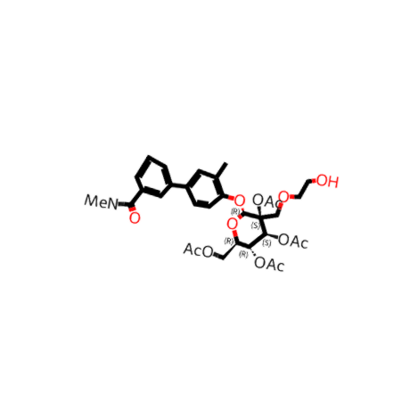 CNC(=O)c1cccc(-c2ccc(O[C@H]3O[C@H](COC(C)=O)[C@@H](OC(C)=O)[C@H](OC(C)=O)[C@]3(COCCO)OC(C)=O)c(C)c2)c1